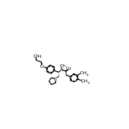 Cc1ccc(CC(=O)N(C)[C@H](CN2CCCC2)c2ccc(OCCO)cc2)cc1C